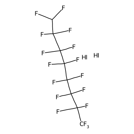 FC(F)C(F)(F)C(F)(F)C(F)(F)C(F)(F)C(F)(F)C(F)(F)C(F)(F)F.I.I